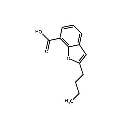 CCCCc1cc2cccc(C(=O)O)c2o1